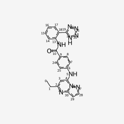 CCc1cc(Nc2ccc(C(=O)Nc3ccccc3-c3nnn[nH]3)cc2)n2nccc2n1